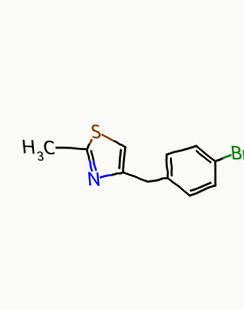 Cc1nc(Cc2ccc(Br)cc2)cs1